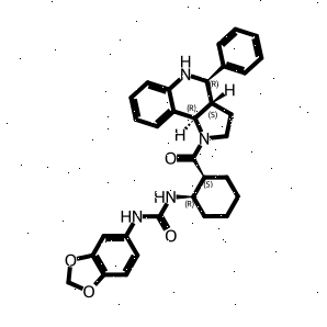 O=C(Nc1ccc2c(c1)OCO2)N[C@@H]1CCCC[C@@H]1C(=O)N1CC[C@H]2[C@H](c3ccccc3)Nc3ccccc3[C@@H]21